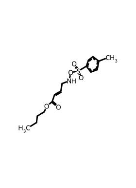 CCCCOC(=O)C=CCNOS(=O)(=O)c1ccc(C)cc1